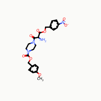 COc1ccc(COC(=O)N2CCN(C(=O)C(N)C(=O)OCc3ccc([N+](=O)[O-])cc3)CC2)cc1